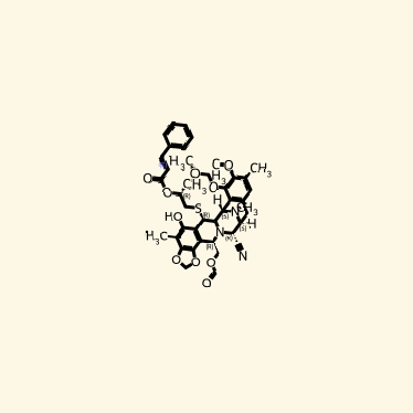 COCOc1c(OC)c(C)cc2c1[C@H]1C3[C@H](SC[C@@H](C)OC(=O)/C=C/c4ccccc4)c4c(O)c(C)c5c(c4[C@H](COC=O)N3[C@@H](C#N)[C@H](C2)N1C)OCO5